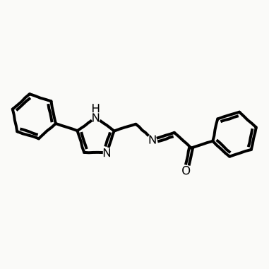 O=C(C=NCc1ncc(-c2ccccc2)[nH]1)c1ccccc1